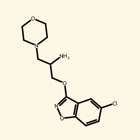 NC(COc1noc2ccc(Cl)cc12)CN1CCOCC1